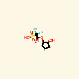 O=C(OC1CCCC1O)C(F)(F)S(=O)(=O)O